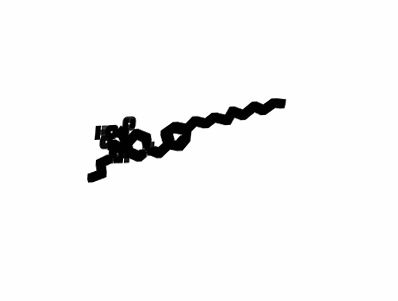 CCCCCCCCCCc1ccc(CN2CCC(C(=O)O)(C(=O)NCCC)CC2)cc1